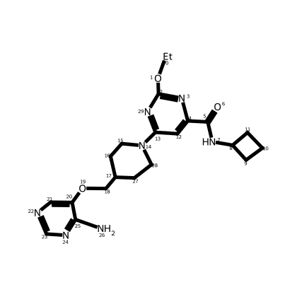 CCOc1nc(C(=O)NC2CCC2)cc(N2CCC(COc3cncnc3N)CC2)n1